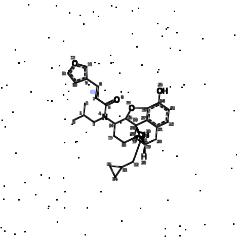 CC(C)CN(C(=O)/C=C/c1ccoc1)C1CC[C@@]2(O)[C@H]3Cc4ccc(O)c5c4[C@@]2(CCN3CC2CC2)C1O5